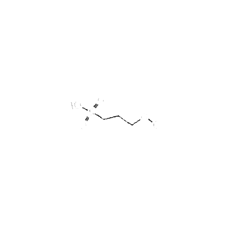 O=S(=O)(O)CCCOCl